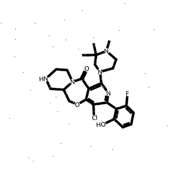 CN1CCN(c2nc(-c3c(O)cccc3F)c(Cl)c3c2C(=O)N2CCNCC2CO3)CC1(C)C